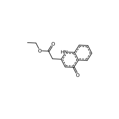 CCOC(=O)Cc1cc(=O)c2ccccc2[nH]1